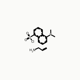 C=CCN.CN(C)c1cccc2c(S(=O)(=O)Cl)cccc12